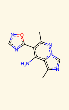 Cc1nn2cnc(C)c2c(N)c1-c1ncno1